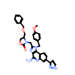 COc1ccc(Cn2c(CN3C(=O)OCC3COCc3ccccc3)nc3c(N)nc4cc(-c5cc[nH]n5)ccc4c32)cc1